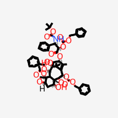 CC(=O)O[C@@]12CO[C@@H]1C[C@H](O)[C@@]1(C)C(=O)[C@H](OC(=O)OCc3ccccc3)C3=C(C)[C@@H](OC(=O)[C@H](OC(=O)OCc4ccccc4)[C@@H](NC(=O)OC(C)(C)C)c4ccccc4)C[C@@](O)([C@@H](OC(=O)c4ccccc4)C12)C3(C)C